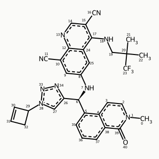 Cn1ccc2c([C@H](Nc3cc(C#N)c4ncc(C#N)c(NCC(C)(C)C(F)(F)F)c4c3)c3cn(C4C=CC4)nn3)cccc2c1=O